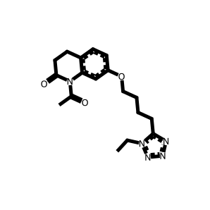 CCn1nnnc1CCCCOc1ccc2c(c1)N(C(C)=O)C(=O)CC2